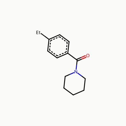 CCc1ccc(C(=O)N2CCCCC2)cc1